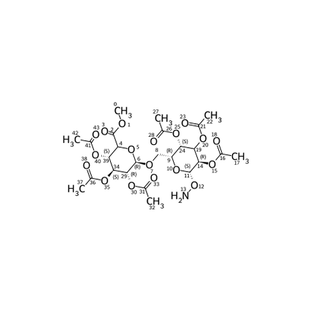 COC(=O)C1O[C@@H](OC[C@H]2O[C@@H](ON)[C@H](OC(C)=O)C(OC(C)=O)[C@H]2OC(C)=O)[C@H](OC(C)=O)[C@@H](OC(C)=O)[C@@H]1OC(C)=O